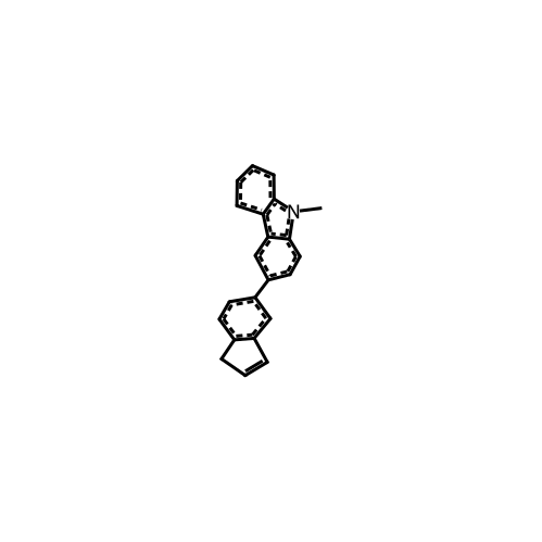 Cn1c2ccccc2c2cc(-c3ccc4c(c3)C=CC4)ccc21